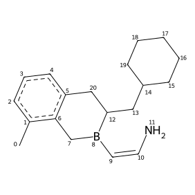 Cc1cccc2c1CB(/C=C\N)C(CC1CCCCC1)C2